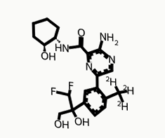 [2H]C([2H])([2H])c1ccc(C(O)(CO)C(F)F)cc1-c1cnc(N)c(C(=O)N[C@H]2CCCC[C@@H]2O)n1